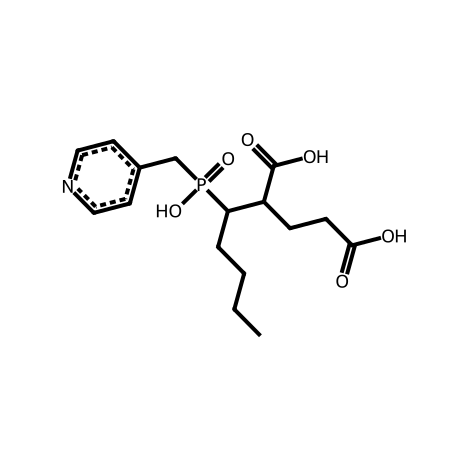 CCCCC(C(CCC(=O)O)C(=O)O)P(=O)(O)Cc1ccncc1